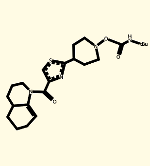 CC(C)(C)NC(=O)ON1CCC(c2nc(C(=O)N3CCCC4CCCC=C43)cs2)CC1